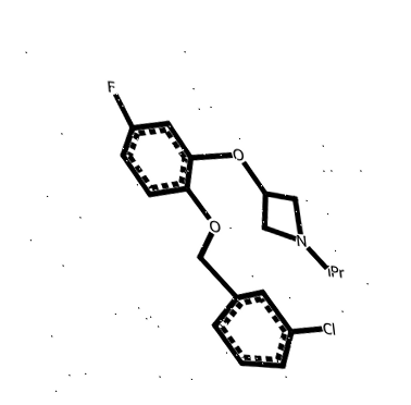 CC(C)N1CC(Oc2cc(F)ccc2OCc2cccc(Cl)c2)C1